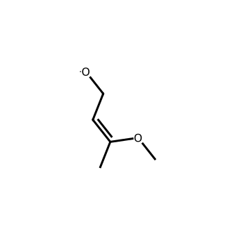 CO/C(C)=C\C[O]